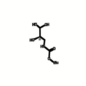 CC(C)(C)OC(=O)NC[C@@H](O)C(O)O